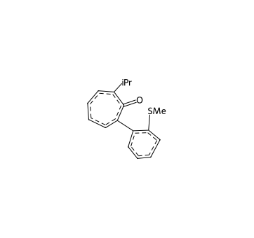 CSc1ccccc1-c1ccccc(C(C)C)c1=O